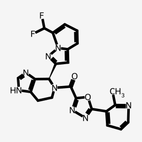 Cc1ncccc1-c1nnc(C(=O)N2CCc3[nH]cnc3[C@H]2c2cc3cccc(C(F)F)n3n2)o1